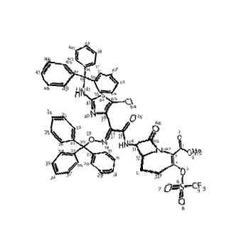 COC(=O)C1=C(OS(=O)(=O)C(F)(F)F)CCC2C(NC(=O)C(=NOC(c3ccccc3)(c3ccccc3)c3ccccc3)c3nc(NC(c4ccccc4)(c4ccccc4)c4ccccc4)sc3Cl)C(=O)N12